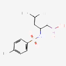 Cc1ccc(S(=O)(=O)NC(CC(C)C)C[PH](=O)O)cc1